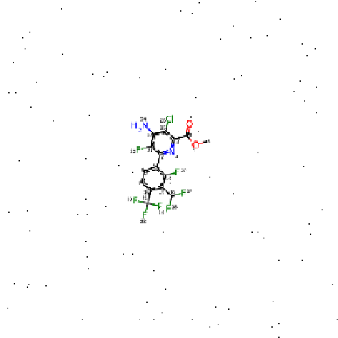 COC(=O)c1nc(-c2ccc(C(F)(F)F)c(C(F)F)c2F)c(F)c(N)c1Cl